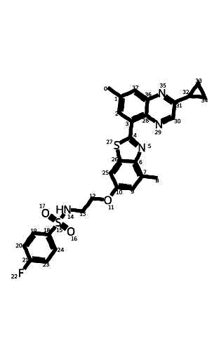 Cc1cc(-c2nc3c(C)cc(OCCNS(=O)(=O)c4ccc(F)cc4)cc3s2)c2ncc(C3CC3)nc2c1